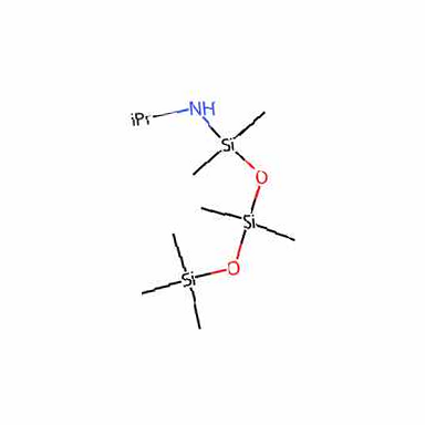 CC(C)N[Si](C)(C)O[Si](C)(C)O[Si](C)(C)C